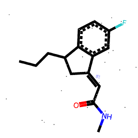 CCCC1C/C(=C\C(=O)NC)c2cc(F)ccc21